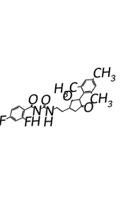 Cc1cc(C)c(C2C(=O)CC(CCNC(=O)NC(=O)c3ccc(F)cc3F)C2=O)c(C)c1